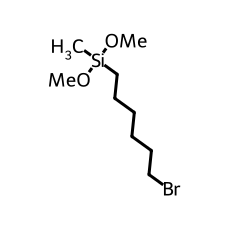 CO[Si](C)(CCCCCCBr)OC